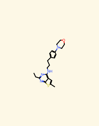 CCc1nc(NCCCc2ccc(N3CCOCC3)cc2)c2cc(C)sc2n1